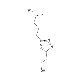 CC(C)C(C)CCCn1cc(CCO)nn1